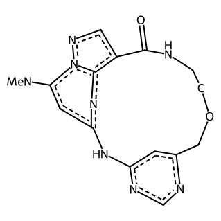 CNc1cc2nc3c(cnn13)C(=O)NCCOCc1cc(ncn1)N2